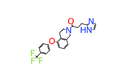 O=C(CCc1ncc[nH]1)N1CCc2c(cccc2Oc2ccc(C(F)(F)F)cc2)C1